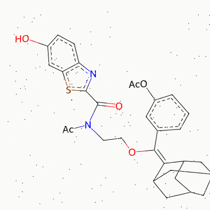 CC(=O)Oc1cccc(C(OCCN(C(C)=O)C(=O)c2nc3ccc(O)cc3s2)=C2C3CC4CC(C3)CC2C4)c1